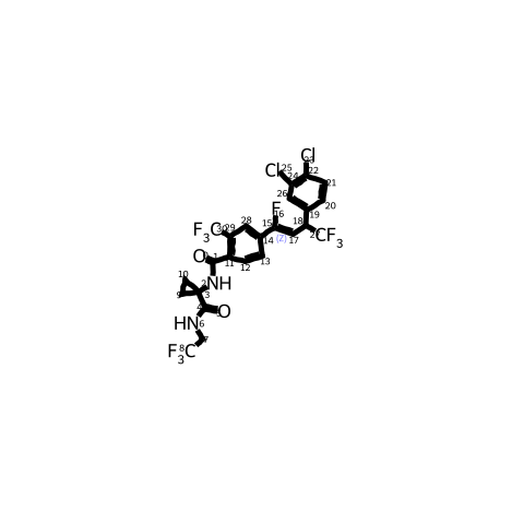 O=C(NC1(C(=O)NCC(F)(F)F)CC1)c1ccc(/C(F)=C/C(c2ccc(Cl)c(Cl)c2)C(F)(F)F)cc1C(F)(F)F